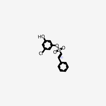 O=S(=O)(/C=C/c1ccccc1)Oc1cc(O)cc(Cl)c1